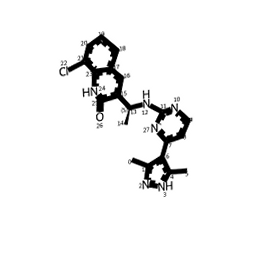 Cc1n[nH]c(C)c1-c1ccnc(N[C@@H](C)c2cc3cccc(Cl)c3[nH]c2=O)n1